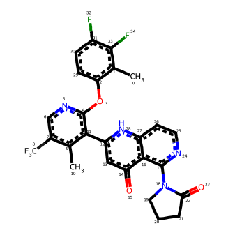 Cc1c(Oc2ncc(C(F)(F)F)c(C)c2-c2cc(=O)c3c(N4CCCC4=O)nccc3[nH]2)ccc(F)c1F